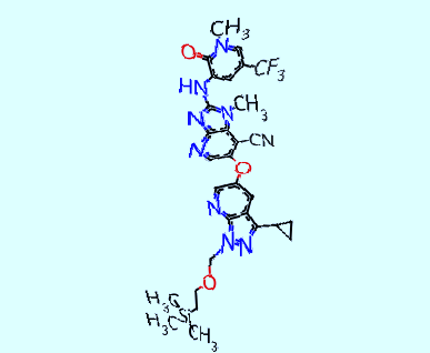 Cn1cc(C(F)(F)F)cc(Nc2nc3ncc(Oc4cnc5c(c4)c(C4CC4)nn5COCC[Si](C)(C)C)c(C#N)c3n2C)c1=O